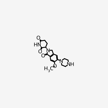 COc1cc2c(cc1N1CCNCC1)CN(C1CCC(=O)NC1=O)C2=O